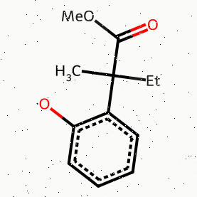 CCC(C)(C(=O)OC)c1ccccc1[O]